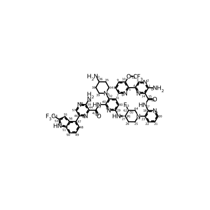 Nc1ncc(-c2ncccc2OC(F)(F)F)nc1C(=O)Nc1ncccc1N1CC[C@@H](Nc2ccc(N3CCC(N)CC3)c(NC(=O)c3nc(-c4cccc5[nH]c(C(F)(F)F)cc45)cnc3N)n2)[C@@H](F)C1